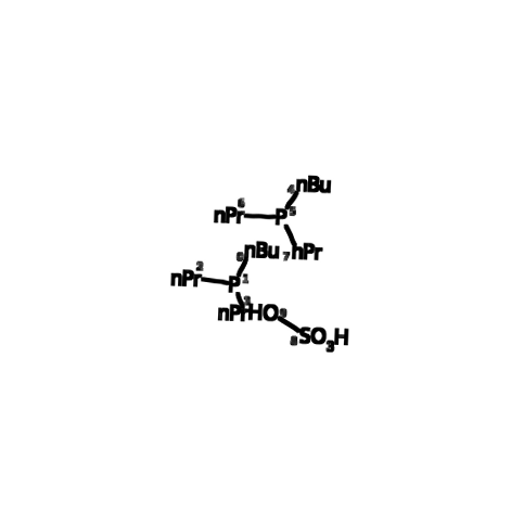 CCCCP(CCC)CCC.CCCCP(CCC)CCC.O=S(=O)(O)O